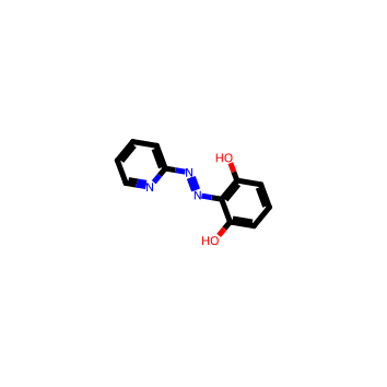 Oc1cccc(O)c1N=Nc1ccccn1